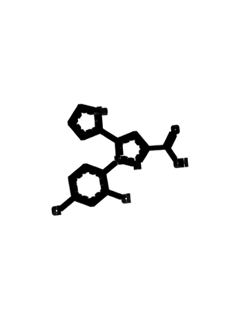 O=C(O)c1cc(-c2ccc[se]2)n(-c2ccc(Cl)cc2Cl)n1